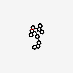 c1ccc(-c2c(N(c3ccc(-c4ccc5ccc6ccccc6c5c4)cc3)c3cccc4ccccc34)c3ccccc3c3ccccc23)cc1